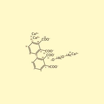 CC(=O)[O-].CC(=O)[O-].O=C([O-])c1ccccc1C(=O)[O-].O=C([O-])c1ccccc1C(=O)[O-].[Ca+2].[Ca+2].[Ca+2]